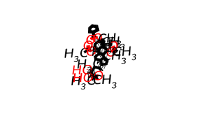 CC(=O)O[C@H]1C[C@@H](OC(=O)c2ccccc2)C(C)(C)[C@@H]2C[C@@H](OC(C)=O)[C@@]3(C)C4=CC[C@@H](C5COC(C)(C)[C@@H](O)[C@H](O)C5)[C@]4(C)CC[C@@H]3[C@@]12C